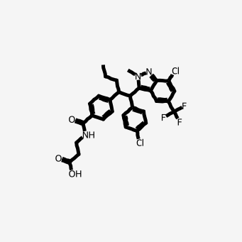 CCCC(c1ccc(C(=O)NCCC(=O)O)cc1)C(c1ccc(Cl)cc1)c1c2cc(C(F)(F)F)cc(Cl)c2nn1C